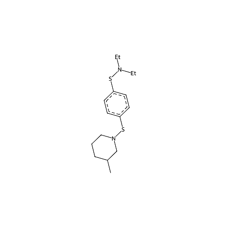 CCN(CC)Sc1ccc(SN2CCCC(C)C2)cc1